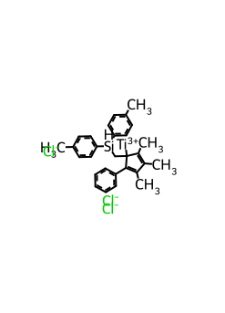 CC1=C(C)[C]([Ti+3])(C[SiH](c2ccc(C)cc2)c2ccc(C)cc2)C(c2ccccc2)=C1C.[Cl-].[Cl-].[Cl-]